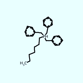 CCCCCCC[PH](Cc1ccccc1)(Cc1ccccc1)Cc1ccccc1